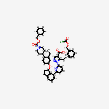 CCc1cc(OC2CCc3cccc(-c4cccc(-n5ncc(C(=O)O)c5CC)n4)c32)ccc1C1CCN(C(=O)OCc2ccccc2)CC1.O=C(Cl)OCc1ccccc1